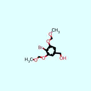 COCOc1cc(CO)cc(OCOC)c1Br